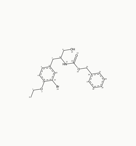 CCOc1ccc(CC(CO)NC(=O)OCc2ccccc2)cc1Br